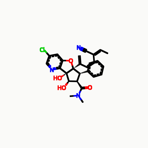 C=C(/C=C\C(C#N)=C/C)[C@@]12Oc3cc(Cl)cnc3[C@]1(O)[C@H](O)[C@H](C(=O)N(C)C)[C@H]2c1ccccc1